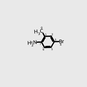 Cc1cc(Br)c[c]c1N